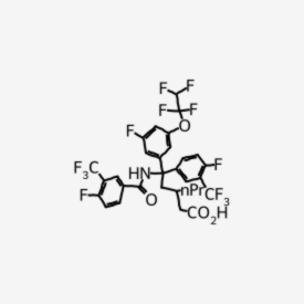 CCCC(CC(=O)O)CC(NC(=O)c1ccc(F)c(C(F)(F)F)c1)(c1cc(F)cc(OC(F)(F)C(F)F)c1)c1ccc(F)c(C(F)(F)F)c1